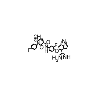 COc1ccc(C(=O)Nc2ccc(Oc3cc4cnn5c4c(c3/C(C=N)=C/N)CC5)c(F)c2)c(=O)n1-c1ccc(F)cc1